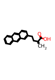 C=C(CCc1ccc2cc3ccccc3cc2c1)C(=O)O